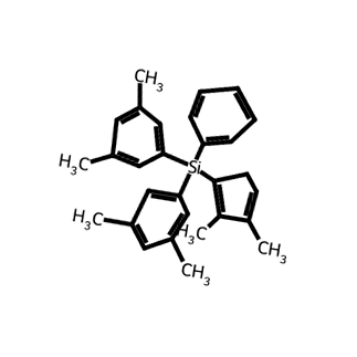 CC1=CCC([Si](c2ccccc2)(c2cc(C)cc(C)c2)c2cc(C)cc(C)c2)=C1C